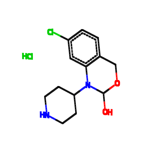 Cl.OC1OCc2ccc(Cl)cc2N1C1CCNCC1